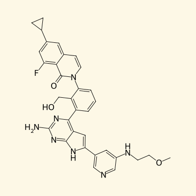 COCCNc1cncc(-c2cc3c(-c4cccc(-n5ccc6cc(C7CC7)cc(F)c6c5=O)c4CO)nc(N)nc3[nH]2)c1